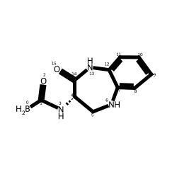 BC(=O)N[C@H]1CNc2ccccc2NC1=O